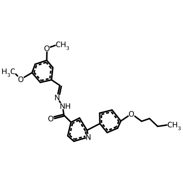 CCCCOc1ccc(-c2cc(C(=O)N/N=C/c3cc(OC)cc(OC)c3)ccn2)cc1